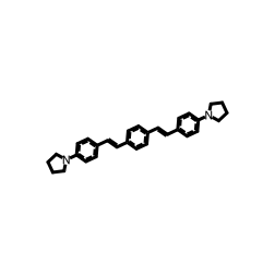 C(=C\c1ccc(N2CCCC2)cc1)/c1ccc(/C=C/c2ccc(N3CCCC3)cc2)cc1